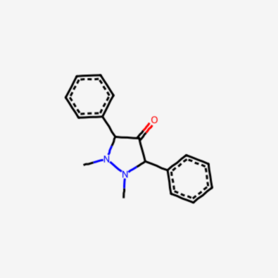 CN1C(c2ccccc2)C(=O)C(c2ccccc2)N1C